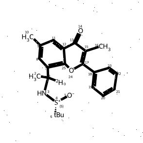 [2H]C(C)(N[S@+]([O-])C(C)(C)C)c1cc(C)cc2c(=O)c(C)c(-c3ccccc3)oc12